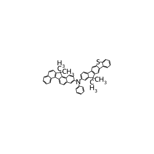 CC1(C)c2cc(N(c3ccccc3)c3ccc4c5c(ccc4c3)-c3c(ccc4ccccc34)C5(C)C)ccc2-c2cc3sc4ccccc4c3cc21